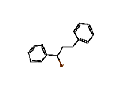 BrC(CCc1ccccc1)c1ccccc1